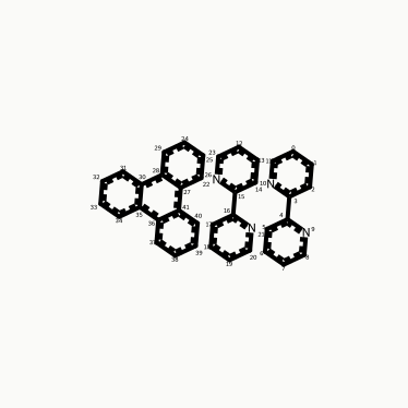 c1ccc(-c2ccccn2)nc1.c1ccc(-c2ccccn2)nc1.c1ccc2c(c1)c1ccccc1c1ccccc21